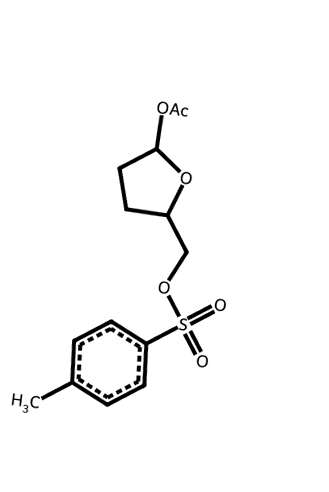 CC(=O)OC1CCC(COS(=O)(=O)c2ccc(C)cc2)O1